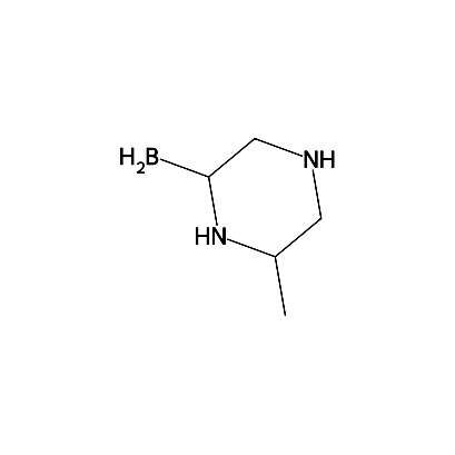 BC1CNCC(C)N1